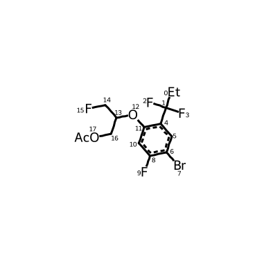 CCC(F)(F)c1cc(Br)c(F)cc1OC(CF)COC(C)=O